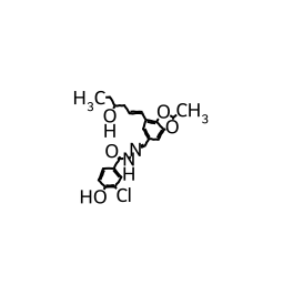 CCC(O)C/C=C/c1cc(/C=N/NC(=O)c2ccc(O)c(Cl)c2)cc2c1OC(C)O2